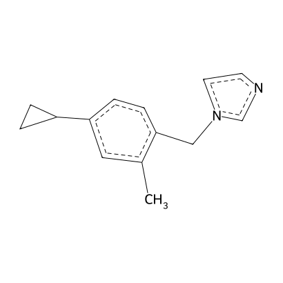 Cc1cc(C2CC2)ccc1Cn1ccnc1